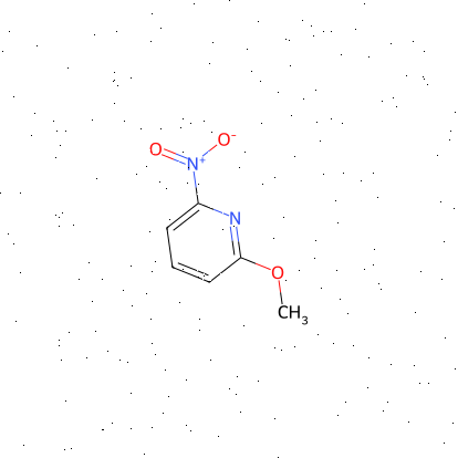 COc1cccc([N+](=O)[O-])n1